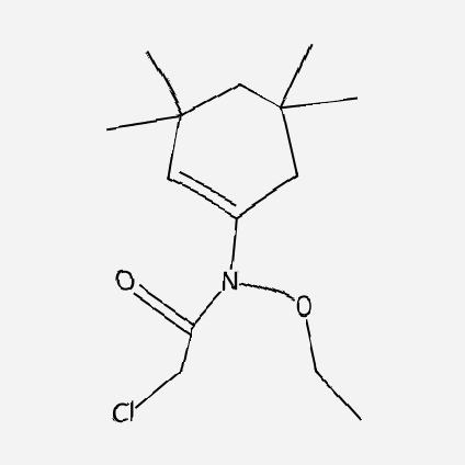 CCON(C(=O)CCl)C1=CC(C)(C)CC(C)(C)C1